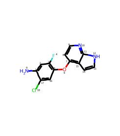 Nc1cc(F)c(Oc2ccnc3[nH]ccc23)cc1Cl